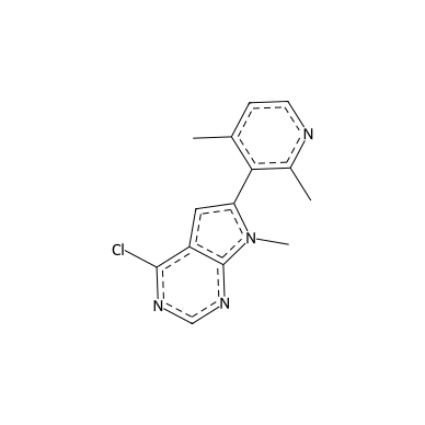 Cc1ccnc(C)c1-c1cc2c(Cl)ncnc2n1C